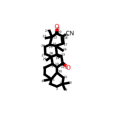 CC1(C)CCC2(C)CCC3C(C(=O)C=C4C5(C)C=C(C#N)C(=O)C(C)(C)C5CCC43C)C2C1